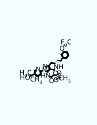 CC(C)(O)c1ccc(-n2nc3c(c2NC(=O)CS(C)(=O)=O)C(=O)N[C@@H](CCc2cccc(OCC(F)(F)F)c2)C3)nc1